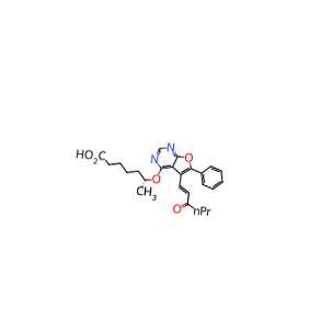 CCCC(=O)/C=C/c1c(-c2ccccc2)oc2ncnc(O[C@H](C)CCCCC(=O)O)c12